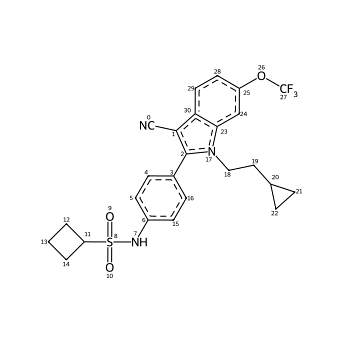 N#Cc1c(-c2ccc(NS(=O)(=O)C3CCC3)cc2)n(CCC2CC2)c2cc(OC(F)(F)F)ccc12